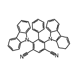 N#Cc1cc(C#N)c(-n2c3ccccc3c3ccccc32)c(-c2ccccc2)c1-n1c2c(c3ccccc31)C=CCC2